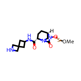 COSON1C(=O)N2C[C@H]1CC[C@H]2C(=O)NC1CC2(CNC2)C1